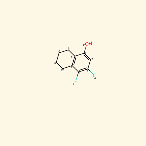 Oc1cc(F)c(F)c2c1CCCC2